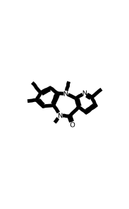 Cc1ccc2c(n1)N(C)c1cc(C)c(C)cc1N(C)C2=O